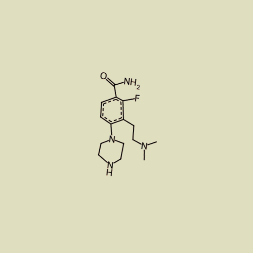 CN(C)CCc1c(N2CCNCC2)ccc(C(N)=O)c1F